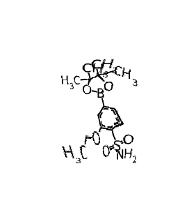 CCOc1cc(B2OC(C)(C)C(C)(C)O2)ccc1S(N)(=O)=O